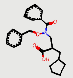 O=C(O)C(CC1CCCC1)CN(OCc1ccccc1)C(=O)c1ccccc1